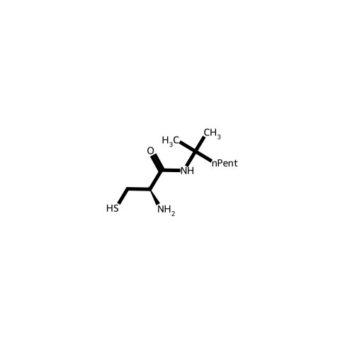 CCCCCC(C)(C)NC(=O)[C@@H](N)CS